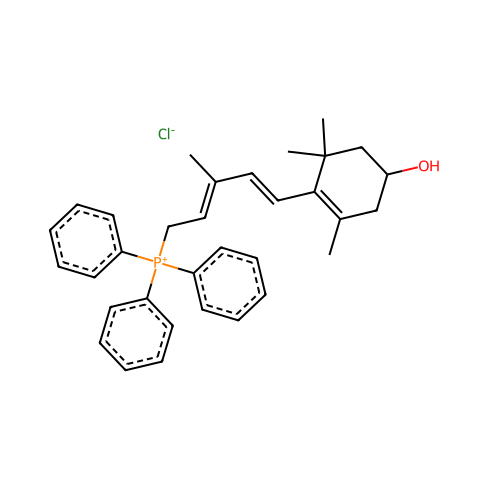 CC(C=CC1=C(C)CC(O)CC1(C)C)=CC[P+](c1ccccc1)(c1ccccc1)c1ccccc1.[Cl-]